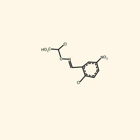 O=C(O)C(Cl)ON=Cc1cc([N+](=O)[O-])ccc1Cl